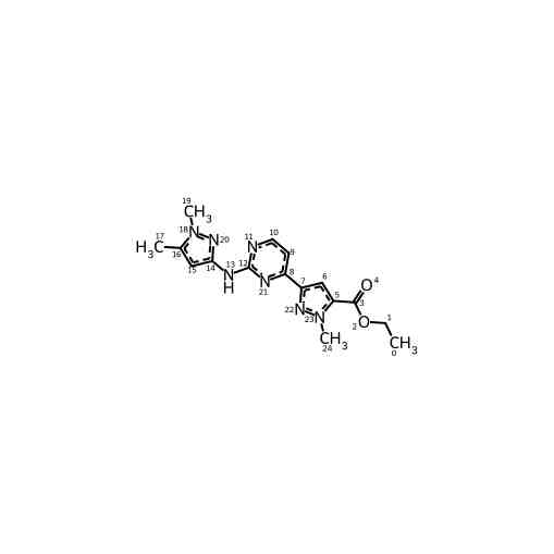 CCOC(=O)c1cc(-c2ccnc(Nc3cc(C)n(C)n3)n2)nn1C